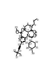 CCCN1CCC[C@H](N(c2cc(C#CC(C)(C)C)sc2C(=O)OC)C(=O)[C@H]2CC[C@H](C)CC2)C1=O